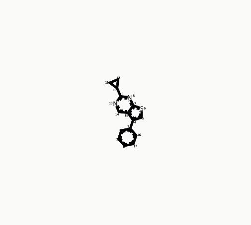 c1ccc(-c2csc3nc(C4CC4)ncc23)cc1